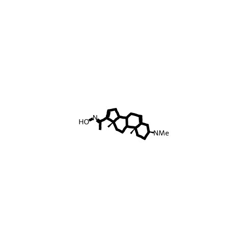 CN[C@H]1CC[C@@]2(C)C(=CCC3C2CC[C@]2(C)C(/C(C)=N/O)=CCC32)C1